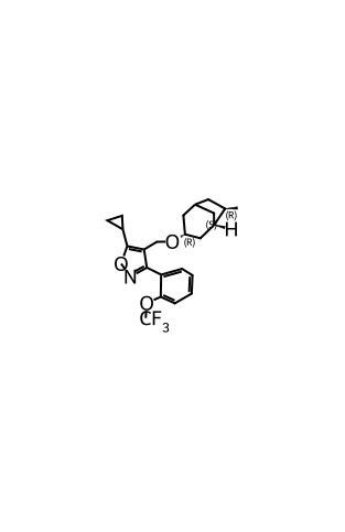 C[C@@H]1CC2C[C@@H](OCc3c(-c4ccccc4OC(F)(F)F)noc3C3CC3)C[C@@H]1C2